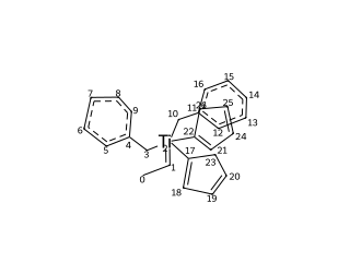 C[CH]=[Ti]([CH2]c1ccccc1)([CH2]c1ccccc1)([C]1=CC=CC1)[C]1=CC=CC1